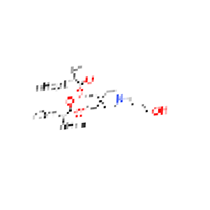 CCCCCCCCC(CCCCCC)C(=O)O[C@@H]1CC2(CCN(CCCCO)CC2)C[C@H]1OC(=O)C(CC)CCCCCCC